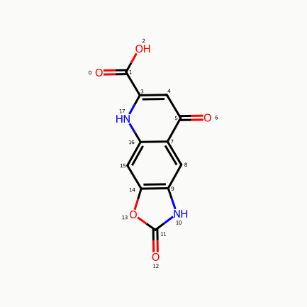 O=C(O)c1cc(=O)c2cc3[nH]c(=O)oc3cc2[nH]1